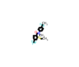 CCSc1cc(C(F)(F)F)ccc1C(=O)N(C)c1ccc(C(C)(F)F)cc1